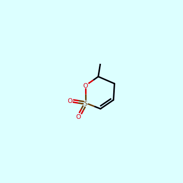 CC1CC=CS(=O)(=O)O1